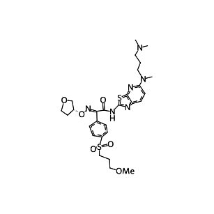 COCCCS(=O)(=O)c1ccc(/C(=N\O[C@@H]2CCOC2)C(=O)Nc2nc3ccc(N(C)CCCN(C)C)nc3s2)cc1